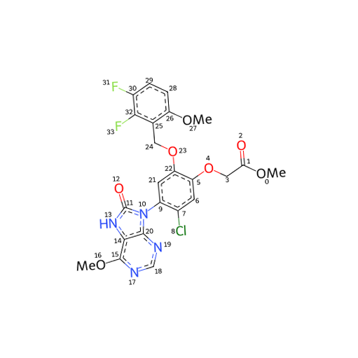 COC(=O)COc1cc(Cl)c(-n2c(=O)[nH]c3c(OC)ncnc32)cc1OCc1c(OC)ccc(F)c1F